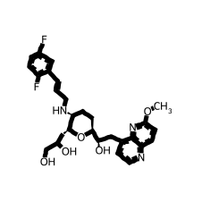 COc1ccc2nccc(C[C@H](O)[C@@H]3CC[C@@H](NCC=Cc4cc(F)ccc4F)[C@@H](CC(O)CO)O3)c2n1